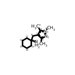 Cc1nn(C)c(C)c1CC1(N)CCCCC1